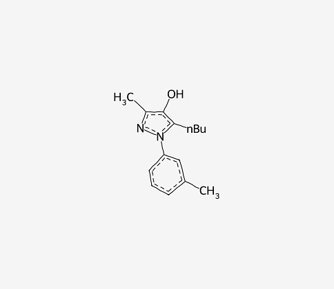 CCCCc1c(O)c(C)nn1-c1cccc(C)c1